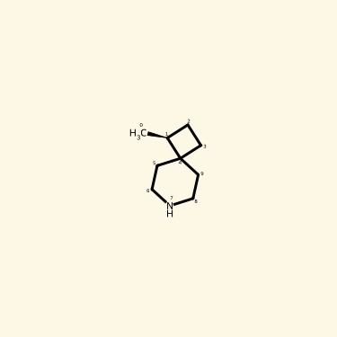 C[C@H]1CCC12CCNCC2